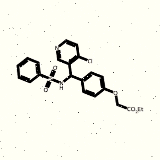 CCOC(=O)COc1ccc(C(NS(=O)(=O)c2ccccc2)c2cnccc2Cl)cc1